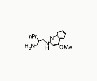 CCCC(CN)CNc1cc(OC)c2ccccc2n1